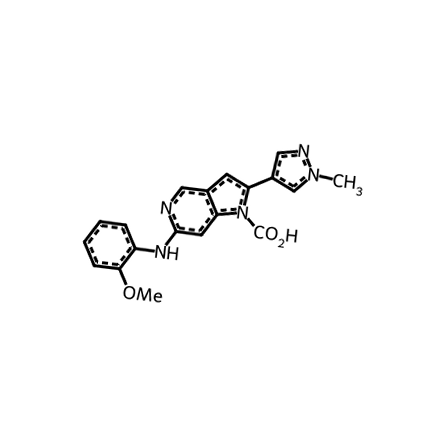 COc1ccccc1Nc1cc2c(cn1)cc(-c1cnn(C)c1)n2C(=O)O